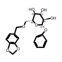 O[C@@H]1[C@@H](O)[C@H](Oc2ccccc2)O[C@H](COCc2ccc3c(c2)OCO3)[C@H]1O